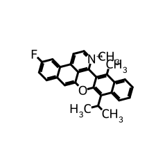 Cc1c2c(c(C(C)C)c3ccccc13)Oc1cc3ccc(F)cc3c3cc[n+](C)c-2c13